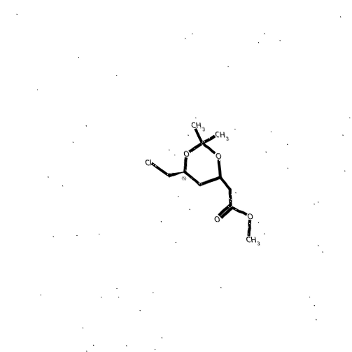 COC(=O)CC1C[C@@H](CCl)OC(C)(C)O1